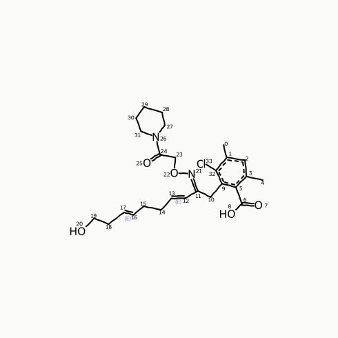 Cc1cc(C)c(C(=O)O)c(CC(/C=C/CC/C=C/CCO)=NOCC(=O)N2CCCCC2)c1Cl